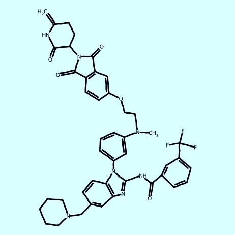 C=C1CCC(N2C(=O)c3ccc(OCCN(C)c4cccc(-n5c(NC(=O)c6cccc(C(F)(F)F)c6)nc6cc(CN7CCCCC7)ccc65)c4)cc3C2=O)C(=O)N1